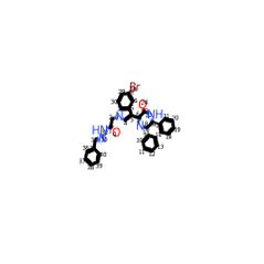 O=C(Cn1cc(C2=N[C@@H](c3ccccc3)[C@H](c3ccccc3)NC2=O)c2cc(Br)ccc21)N/N=C/c1ccccc1